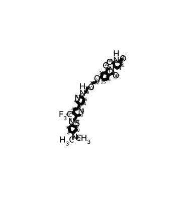 CN(C)c1ccc2nc(-c3cnc(-c4ccc(NCCOCCOc5ccc6c(c5)C(=O)N(C5CCC(=O)NC5=O)C6=O)nc4)cc3C(F)(F)F)sc2c1